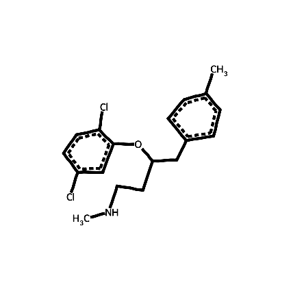 CNCCC(Cc1ccc(C)cc1)Oc1cc(Cl)ccc1Cl